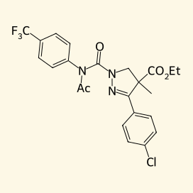 CCOC(=O)C1(C)CN(C(=O)N(C(C)=O)c2ccc(C(F)(F)F)cc2)N=C1c1ccc(Cl)cc1